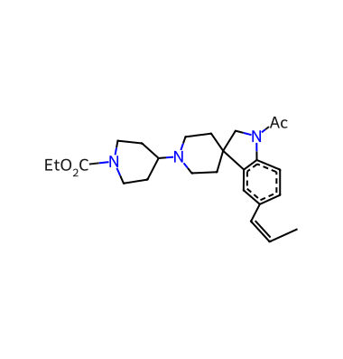 C/C=C\c1ccc2c(c1)C1(CCN(C3CCN(C(=O)OCC)CC3)CC1)CN2C(C)=O